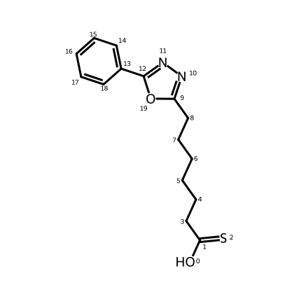 OC(=S)CCCCCCc1nnc(-c2ccccc2)o1